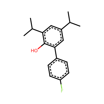 CC(C)c1cc(-c2ccc(F)cc2)c(O)c(C(C)C)c1